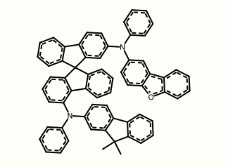 CC1(C)c2ccccc2-c2ccc(N(c3ccccc3)c3cccc4c3-c3ccccc3C43c4ccccc4-c4ccc(N(c5ccccc5)c5ccc6oc7ccccc7c6c5)cc43)cc21